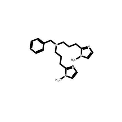 Cn1ccnc1CCCN(CCCc1nccn1C)Cc1ccccc1